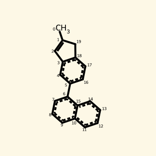 CC1=Cc2cc(-c3cccc4ccccc34)ccc2C1